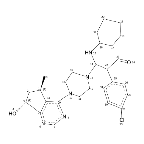 C[C@@H]1C[C@@H](O)c2ncnc(N3CCN(C(NC4CCCCC4)C(C=O)c4ccc(Cl)cc4)CC3)c21